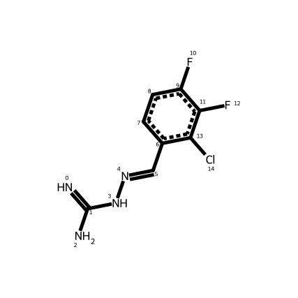 N=C(N)NN=Cc1ccc(F)c(F)c1Cl